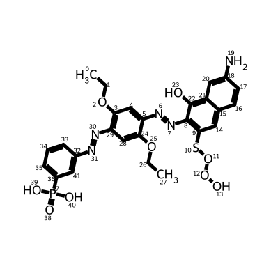 CCOc1cc(N=Nc2c(SOOO)cc3ccc(N)cc3c2O)c(OCC)cc1N=Nc1cccc(P(=O)(O)O)c1